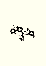 Cc1ccccc1-c1cc(C(OCc2cc(F)ccc2F)c2cncn2C)ccc1C#N